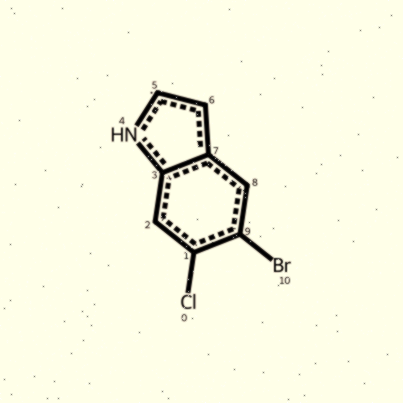 Clc1cc2[nH][c]cc2cc1Br